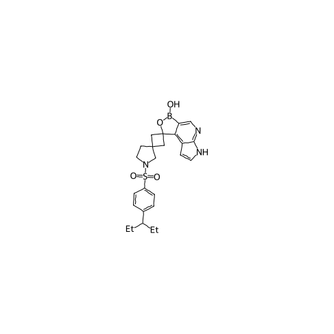 CCC(CC)c1ccc(S(=O)(=O)N2CCC3(C2)CC2(C3)OB(O)c3cnc4[nH]ccc4c32)cc1